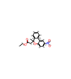 CCOC(=O)CC1(C)Oc2ccc([N+](=O)[O-])cc2-c2ccccc21